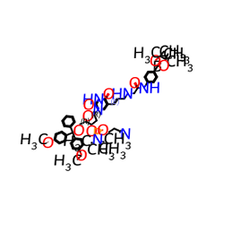 COc1ccc(C(OC[C@H]2O[C@@H](n3cc(/C=C/CNCC(=O)Nc4ccc(B5OC(C)(C)C(C)(C)O5)cc4)c(=O)[nH]c3=O)CC2OP(OCCC#N)N(C(C)C)C(C)C)(c2ccccc2)c2ccc(OC)cc2)cc1